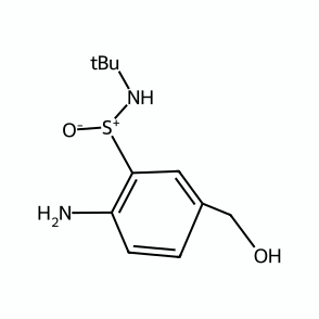 CC(C)(C)N[S+]([O-])c1cc(CO)ccc1N